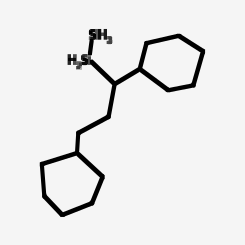 [SiH3][SiH2]C(CCC1CCCCC1)C1CCCCC1